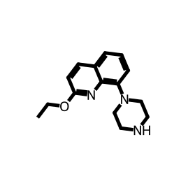 CCOc1ccc2cccc(N3CCNCC3)c2n1